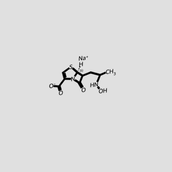 CC(CC1C(=O)N2C(C(=O)[O-])=CS[C@@H]12)NO.[Na+]